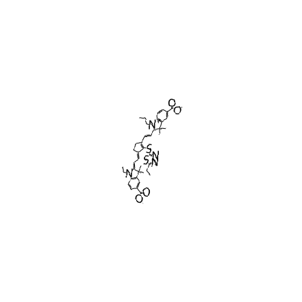 CCC[N+]1=C(/C=C/C2=C(Sc3nnc(CC)s3)C(=C/C=C3/N(CC)c4ccc(C(=O)OC)cc4C3(C)C)/CC2)C(C)(C)c2cc(C(=O)OC)ccc21